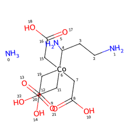 N.NCC[CH](N)[Co]([CH2]C(=O)O)([CH2]C(=O)O)([CH2]C(=O)O)[CH2]C(=O)O